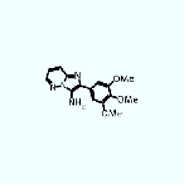 COc1cc(-c2nc3cccnn3c2N)cc(OC)c1OC